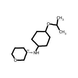 CC(C)OC1CCC(N[C@H]2CCCOC2)CC1